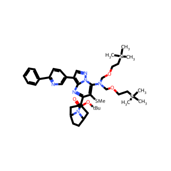 CSc1c(C2CC3CCC(C2)N3C(=O)OC(C)(C)C)nc2c(-c3ccc(-c4ccccc4)nc3)cnn2c1N(COCC[Si](C)(C)C)COCC[Si](C)(C)C